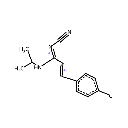 CC(C)NC(/C=C/c1ccc(Cl)cc1)=N/C#N